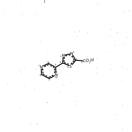 O=C(O)c1nnc(-c2cnccn2)s1